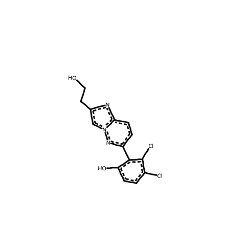 OCCc1cn2nc(-c3c(O)ccc(Cl)c3Cl)ccc2n1